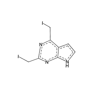 ICc1nc(CI)c2cc[nH]c2n1